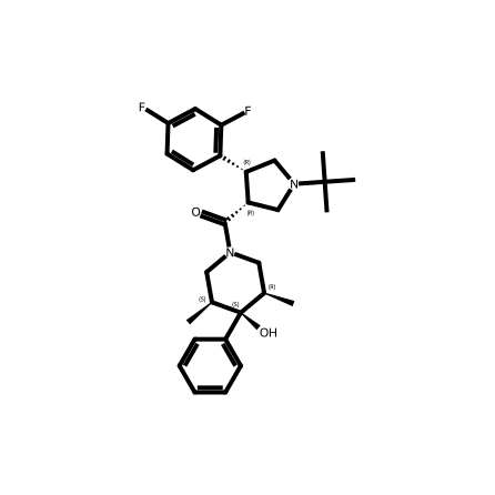 C[C@@H]1CN(C(=O)[C@H]2CN(C(C)(C)C)C[C@H]2c2ccc(F)cc2F)C[C@H](C)[C@@]1(O)c1ccccc1